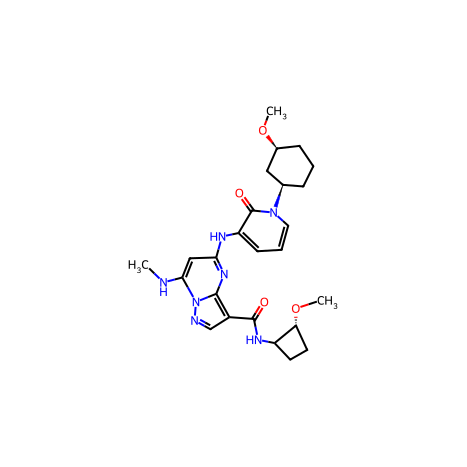 CNc1cc(Nc2cccn([C@@H]3CCC[C@H](OC)C3)c2=O)nc2c(C(=O)NC3CC[C@H]3OC)cnn12